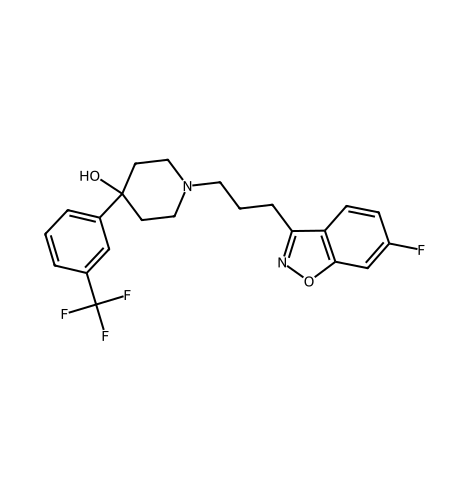 OC1(c2cccc(C(F)(F)F)c2)CCN(CCCc2noc3cc(F)ccc23)CC1